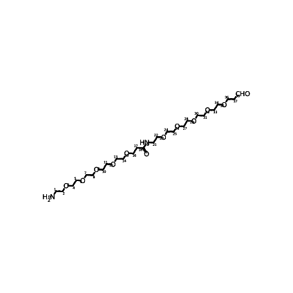 NCCOCCOCCOCCOCCOCCC(=O)NCCOCCOCCOCCOCCOCCC=O